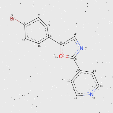 Brc1ccc(-c2cnc(-c3ccncc3)o2)cc1